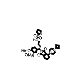 COc1ccc([C@@H](CCCNS(=O)(=O)c2cccs2)N2C(=O)c3cccc(N4CCN(C5CCC5)CC4)c3C2=O)cc1OC